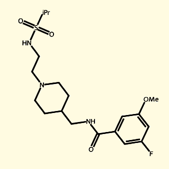 COc1cc(F)cc(C(=O)NCC2CCN(CCNS(=O)(=O)C(C)C)CC2)c1